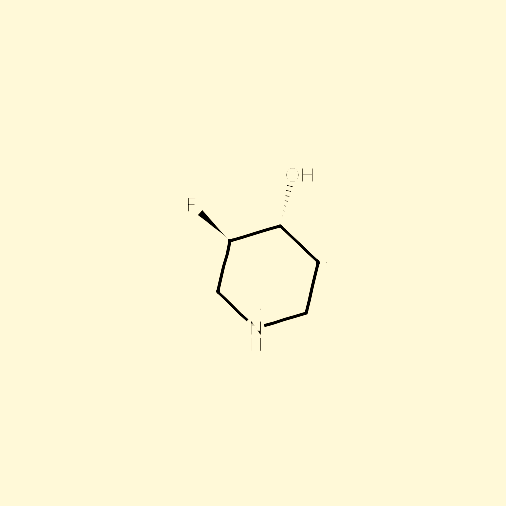 O[C@@H]1CCNC[C@H]1F